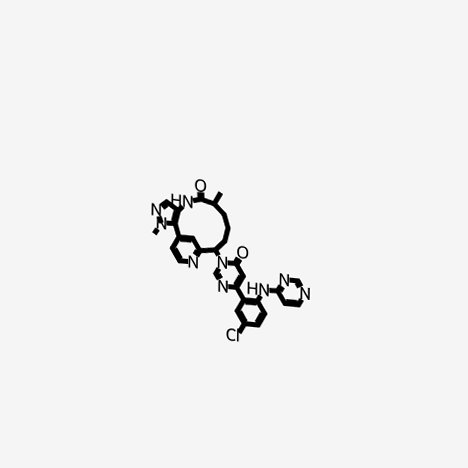 CC1CCCC(n2cnc(-c3cc(Cl)ccc3Nc3ccncn3)cc2=O)c2cc(ccn2)-c2c(cnn2C)NC1=O